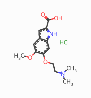 COc1cc2cc(C(=O)O)[nH]c2cc1OCCN(C)C.Cl